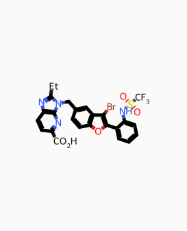 CCc1nc2ccc(C(=O)O)nc2n1Cc1ccc2oc(-c3ccccc3NS(=O)(=O)C(F)(F)F)c(Br)c2c1